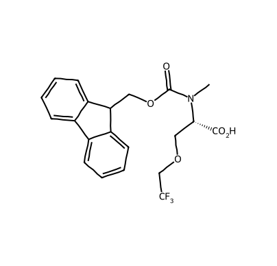 CN(C(=O)OCC1c2ccccc2-c2ccccc21)[C@@H](COCC(F)(F)F)C(=O)O